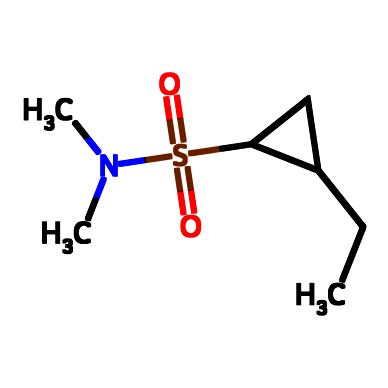 CCC1CC1S(=O)(=O)N(C)C